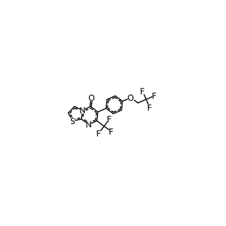 O=c1c(-c2ccc(OCC(F)(F)F)cc2)c(C(F)(F)F)nc2sccn12